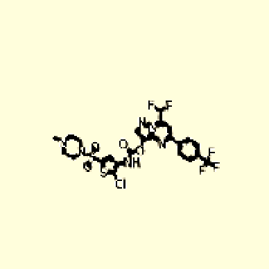 CN1CCN(S(=O)(=O)c2cc(NC(=O)Oc3cnn4c(C(F)F)cc(-c5ccc(C(F)(F)F)cc5)nc34)c(Cl)s2)CC1